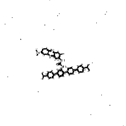 Cc1cc2nc3ccc(=[N+](C)C)cc-3sc2cc1NC(=S)Nc1cc(-c2ccc(C(C)C)cc2)ccc1-c1ccc(-c2ccc(C(C)C)cc2)cc1